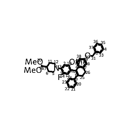 COc1cc(N2CCC(C(OC)OC)CC2)c(F)cc1C1=C(c2ccccc2)CCc2cc(OCc3ccccc3)ccc21